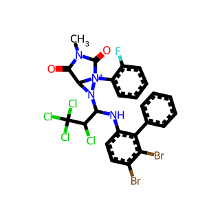 CN1C(=O)C2N(C(Nc3ccc(Br)c(Br)c3-c3ccccc3)C(Cl)C(Cl)(Cl)Cl)[N+]2(c2ccccc2F)C1=O